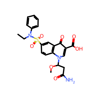 CCN(c1ccccc1)S(=O)(=O)c1ccc2c(c1)c(=O)c(C(=O)O)cn2C(CC(N)=O)OC